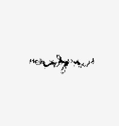 O=C(OCC=NO)C(=O)OCC=NO